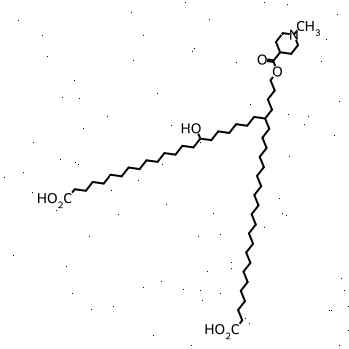 CN1CCC(C(=O)OCCCCC(CCCCCCCCCCCCCCCCCCCCCC(=O)O)CCCCCCC(O)CCCCCCCCCCCCCCC(=O)O)CC1